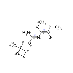 CC/C(F)=C(CC)/N=C(\N)OCC1(C)CCO1